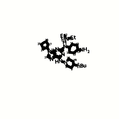 CCCCC1CCN(Nc2nc(NC3CCC(N)CC3)nc3c2ncn3C2CCCC2)CC1.CCNCC